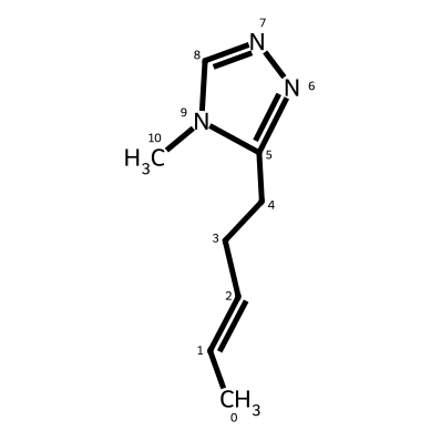 CC=CCCc1nncn1C